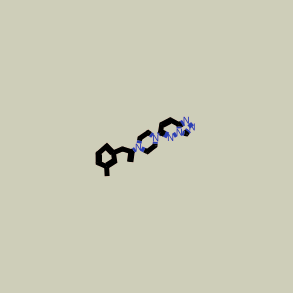 C=C(Cc1cccc(C)c1)N1CCN(c2ccc3nncn3n2)CC1